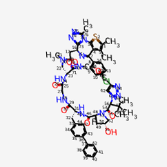 Cc1sc2c(c1C)C(c1ccc(Cl)cc1)=N[C@@H](CC(=O)N(C)C[C@H]1NC(=O)CNC(=O)[C@@H](Cc3ccc(-c4ccccc4)cc3)NC(=O)[C@@H]3C[C@@H](O)CN3C(=O)C(C(C)(C)C)n3cc(nn3)COCCNC1=O)c1nnc(C)n1-2